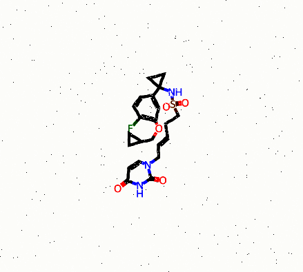 O=c1ccn(C/C=C/CCS(=O)(=O)NC2(c3ccc(F)c(OCC4CC4)c3)CC2)c(=O)[nH]1